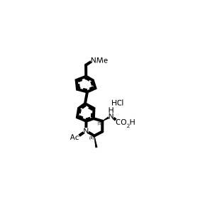 CNCc1ccc(-c2ccc3c(c2)[C@@H](NC(=O)O)C[C@@H](C)N3C(C)=O)cc1.Cl